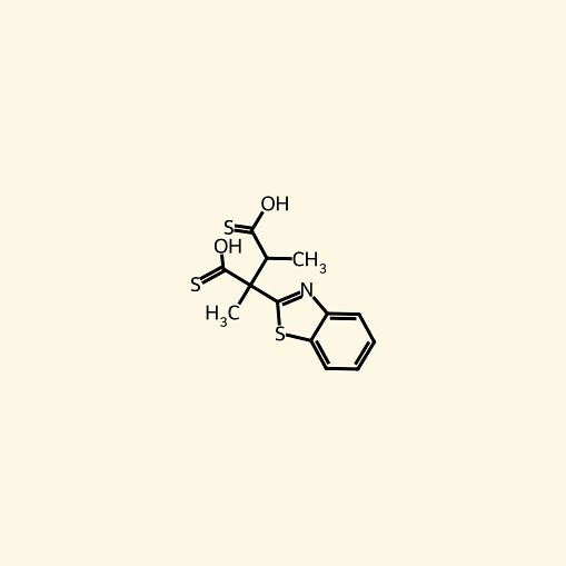 CC(C(O)=S)C(C)(C(O)=S)c1nc2ccccc2s1